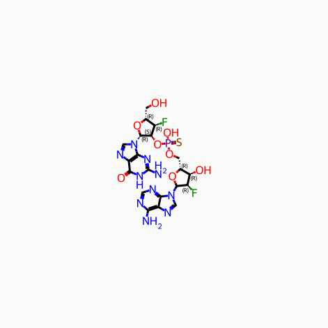 Nc1nc2c(ncn2[C@@H]2O[C@H](CO)[C@@H](F)[C@H]2OP(O)(=S)OC[C@H]2OC(n3cnc4c(N)ncnc43)[C@H](F)[C@@H]2O)c(=O)[nH]1